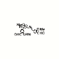 CCC(CCCN(C)CCc1ccc(C=O)c(OC)c1)(C(=O)OC)c1ccc(C=O)c(OC)c1